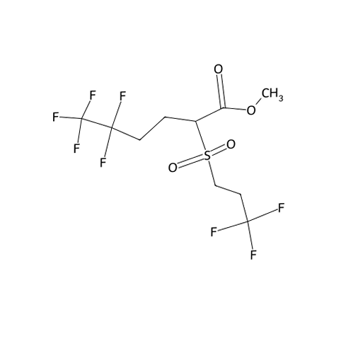 COC(=O)C(CCC(F)(F)C(F)(F)F)S(=O)(=O)CCC(F)(F)F